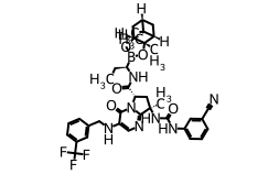 CC[C@H](NC(=O)[C@@H]1C[C@@](C)(NC(=O)Nc2cccc(C#N)c2)c2ncc(NCc3cccc(C(F)(F)F)c3)c(=O)n21)B1O[C@@H]2C[C@@H]3C[C@@H](C3(C)C)[C@]2(C)O1